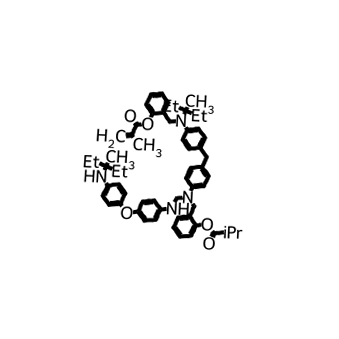 C=C(C)C(=O)Oc1ccccc1CN(c1ccc(Cc2ccc(N(CNc3ccc(Oc4ccc(NC(C)(CC)CC)cc4)cc3)Cc3ccccc3OC(=O)C(C)C)cc2)cc1)C(C)(CC)CC